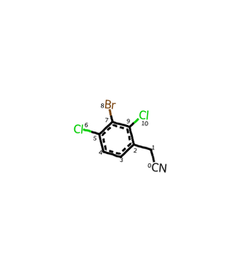 N#CCc1ccc(Cl)c(Br)c1Cl